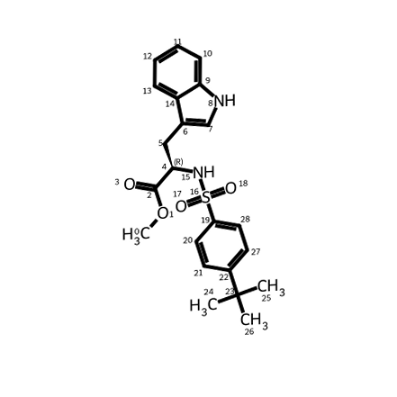 COC(=O)[C@@H](Cc1c[nH]c2ccccc12)NS(=O)(=O)c1ccc(C(C)(C)C)cc1